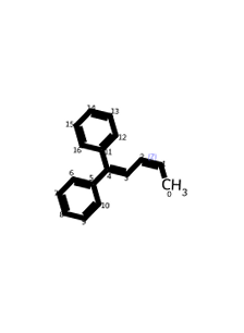 C/C=C\C=C(c1ccccc1)c1ccccc1